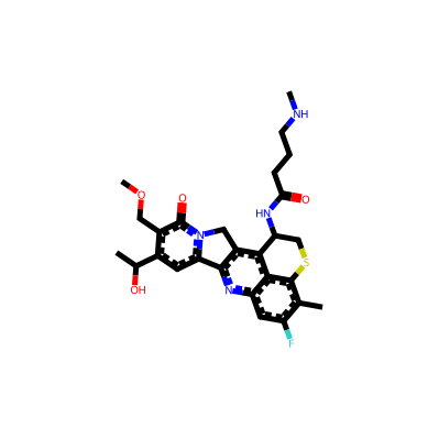 CNCCCC(=O)NC1CSc2c(C)c(F)cc3nc4c(c1c23)Cn1c-4cc(C(C)O)c(COC)c1=O